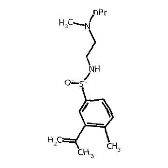 C=C(C)c1cc([S+]([O-])NCCN(C)CCC)ccc1C